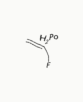 C=CF.[PoH2]